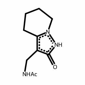 CC(=O)NCc1c2n([nH]c1=O)CCCC2